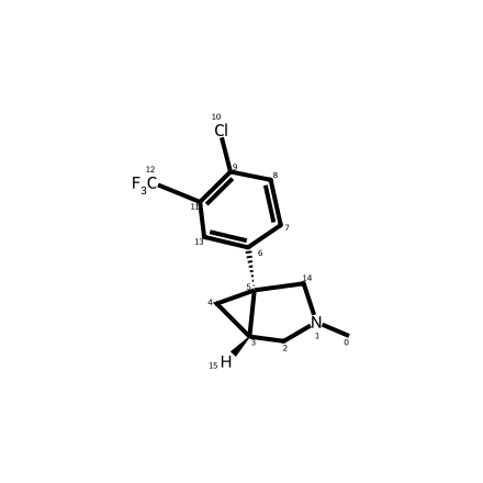 CN1C[C@@H]2C[C@@]2(c2ccc(Cl)c(C(F)(F)F)c2)C1